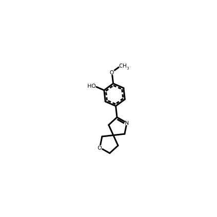 COc1ccc(C2=NCC3(CCOC3)C2)cc1O